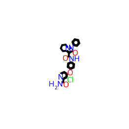 NC(=O)c1nccc(Oc2ccc(NC(=O)c3c4n(n(-c5ccccc5)c3=O)CCCC4)cc2)c1Cl